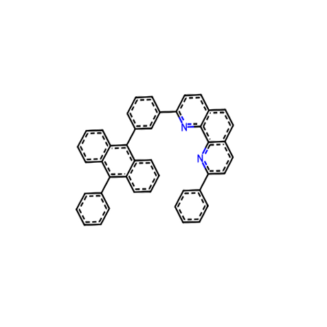 c1ccc(-c2ccc3ccc4ccc(-c5cccc(-c6c7ccccc7c(-c7ccccc7)c7ccccc67)c5)nc4c3n2)cc1